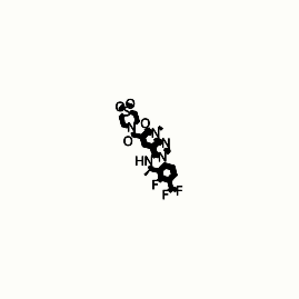 C[C@@H](Nc1ncnc2c1cc(C(=O)N1CCS(=O)(=O)CC1)c(=O)n2C)c1cccc(C(F)F)c1F